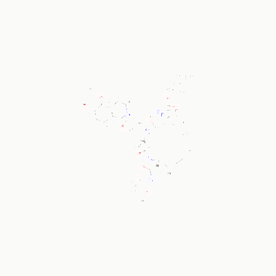 C[C@@H]1CC/C=C\[C@@H]2C[C@@]2(C(=O)NS(=O)(=O)C2(C)CC2)NC(=O)[C@@H]2CC(Oc3nccc4c5c(ccc34)OCCO5)CN2C(=O)[C@@H](NC(=O)OC(C)(C)C(F)(F)F)[C@H](C)C1